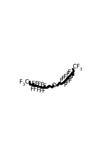 FC(F)(F)CCC(F)(F)C(F)(F)C(F)(F)C(F)(F)C(F)(F)C=CCOCC=CC(F)(F)C(F)(F)C(F)(F)C(F)(F)C(F)(F)CCC(F)(F)F